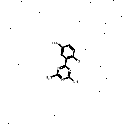 Nc1ccc(Cl)c(-c2nc(N)nc(N)n2)c1